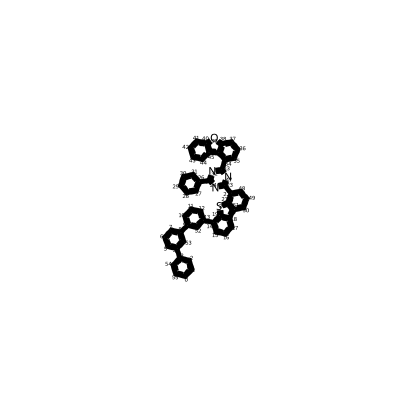 c1ccc(-c2cccc(-c3cccc(-c4cccc5c4sc4c(-c6nc(-c7ccccc7)nc(-c7cccc8oc9ccccc9c78)n6)cccc45)c3)c2)cc1